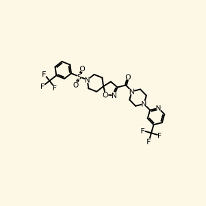 O=C(C1=NOC2(CCN(S(=O)(=O)c3cccc(C(F)(F)F)c3)CC2)C1)N1CCN(c2cc(C(F)(F)F)ccn2)CC1